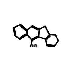 O=Cc1c2c(cc3ccccc13)CC1=C2C=CCC1